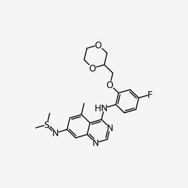 Cc1cc(N=S(C)C)cc2ncnc(Nc3ccc(F)cc3OCC3COCCO3)c12